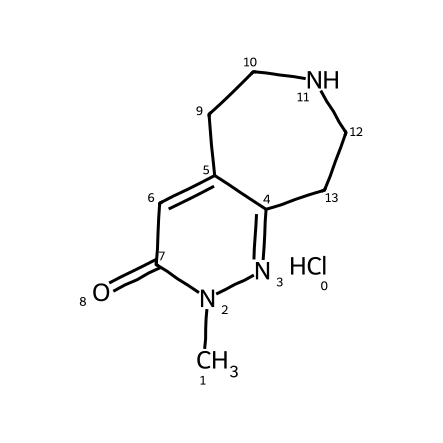 Cl.Cn1nc2c(cc1=O)CCNCC2